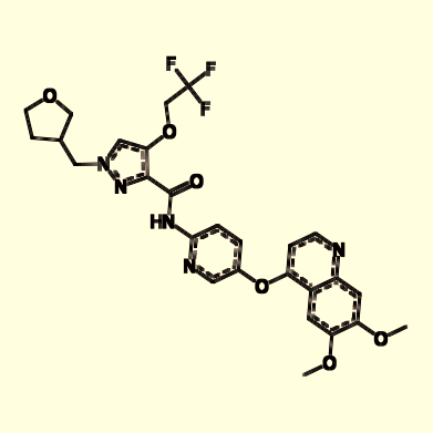 COc1cc2nccc(Oc3ccc(NC(=O)c4nn(CC5CCOC5)cc4OCC(F)(F)F)nc3)c2cc1OC